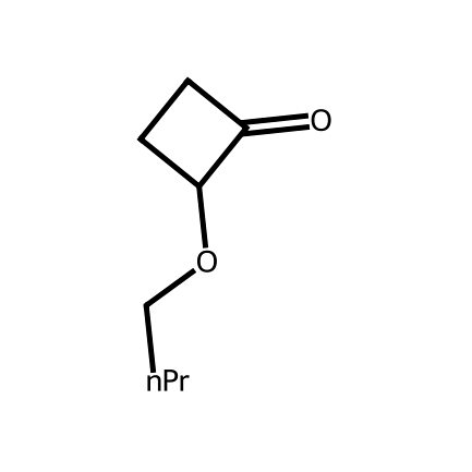 CCCCOC1CCC1=O